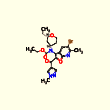 CCOC(=O)N(c1c(C(=O)c2cnn(C)c2)oc2nc(C)c(Br)cc12)[C@H]1CCO[C@@H](CC)C1